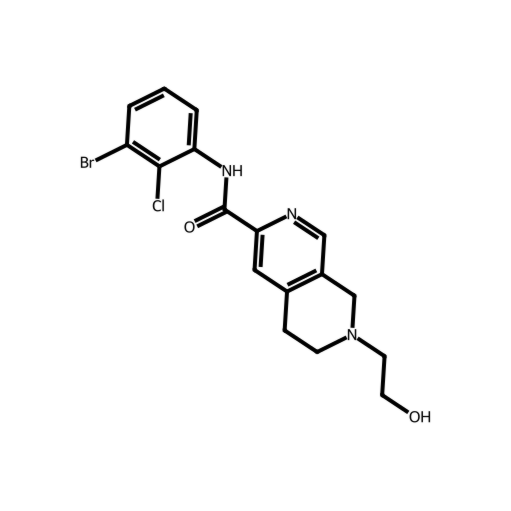 O=C(Nc1cccc(Br)c1Cl)c1cc2c(cn1)CN(CCO)CC2